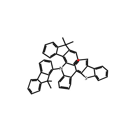 CC1(C)c2ccccc2-c2c(N(c3ccccc3-c3cccc4c3sc3ccccc34)c3cccc4c3C(C)(C)c3ccccc3-4)cccc21